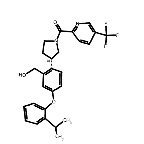 CC(C)c1ccccc1Oc1ccc([C@@H]2CCN(C(=O)c3ccc(C(F)(F)F)cn3)C2)c(CO)c1